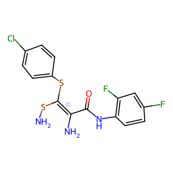 NS/C(Sc1ccc(Cl)cc1)=C(\N)C(=O)Nc1ccc(F)cc1F